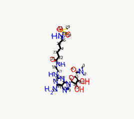 CN(C)C(=O)[C@H]1O[C@@H](n2cnc3c(N)nc(NCCNC(=O)CCCCCNS(C)(=O)=O)nc32)[C@H](O)[C@@H]1O